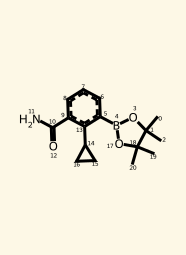 CC1(C)OB(c2cccc(C(N)=O)c2C2CC2)OC1(C)C